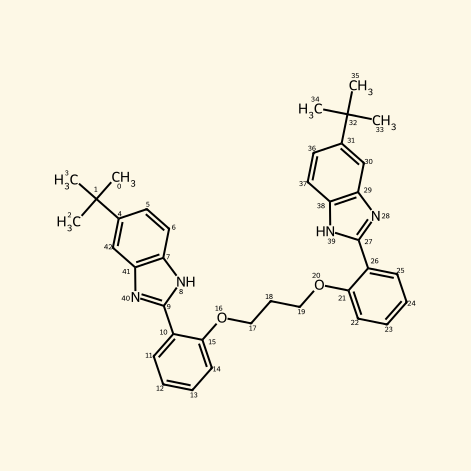 CC(C)(C)c1ccc2[nH]c(-c3ccccc3OCCCOc3ccccc3-c3nc4cc(C(C)(C)C)ccc4[nH]3)nc2c1